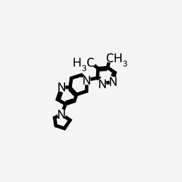 Cc1cnnc(N2CCc3ncc(N4CCCC4)cc3C2)c1C